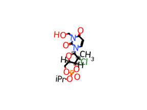 CC(C)OP1(=O)OC[C@H]2O[C@@H](n3ccc(=O)n(CO)c3=O)[C@](C)(Cl)[C@@H]2O1